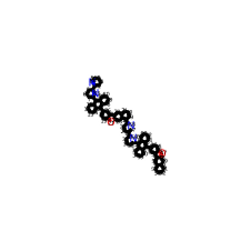 c1ccc(-c2cccc(-c3c4ccccc4c(-c4ccc5oc6cc7c(-c8ccc(-c9cccc(-c%10c%11ccccc%11c(-c%11ccc%12oc%13cc%14ccccc%14cc%13c%12c%11)c%11ccccc%10%11)n9)cn8)cccc7cc6c5c4)c4ccccc34)n2)nc1